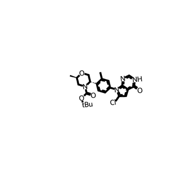 Cc1cc(-n2c(Cl)cc3c(=O)[nH]cnc32)ccc1[C@H]1CO[C@H](C)CN1C(=O)OC(C)(C)C